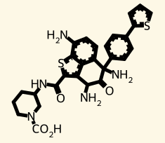 Nc1ccc2c3c(c(C(=O)NC4CCCN(C(=O)O)C4)sc13)C(N)C(=O)C2(N)c1ccc(-c2cccs2)cc1